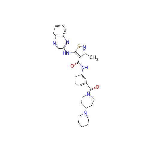 Cc1nsc(Nc2cnc3ccccc3n2)c1C(=O)Nc1cccc(C(=O)N2CCC(N3CCCCC3)CC2)c1